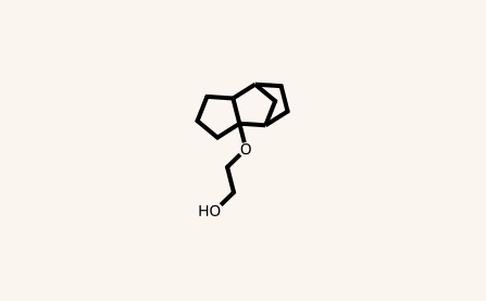 OCCOC12CCCC1C1CCC2C1